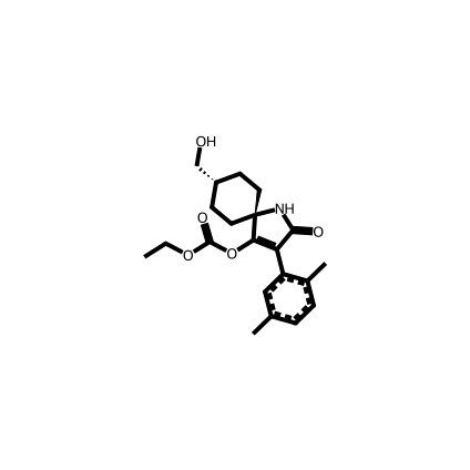 CCOC(=O)OC1=C(c2cc(C)ccc2C)C(=O)N[C@]12CC[C@@H](CO)CC2